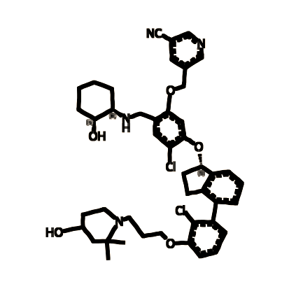 CC1(C)CC(O)CCN1CCCOc1cccc(-c2cccc3c2CC[C@@H]3Oc2cc(OCc3cncc(C#N)c3)c(CN[C@@H]3CCCC[C@@H]3O)cc2Cl)c1Cl